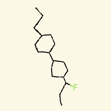 CCCC1CCC(C2CCC(C(F)CC)CC2)CC1